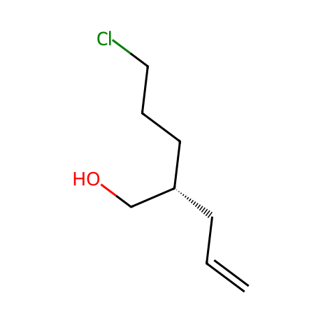 C=CC[C@H](CO)CCCCl